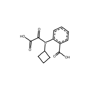 O=C(O)C(=O)N(c1ccccc1C(=O)O)C1CCC1